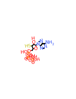 CN1CN(C2OC(COP(=O)(O)OP(=O)(O)OP(=O)(O)O)C(S)C2O)c2ncnc(N)c21